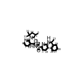 CC1CN(c2ncccc2C(=O)NS(=O)(=O)c2cccc(NC(C)c3ccccc3)n2)C(C)(C)C1